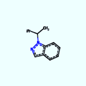 CC(C)C(C)n1ncc2ccccc21